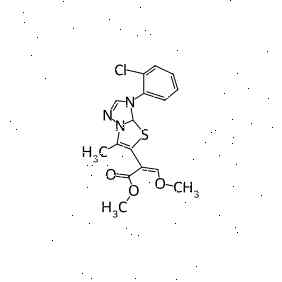 CO/C=C(\C(=O)OC)C1=C(C)N2N=CN(c3ccccc3Cl)C2S1